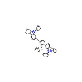 Cc1cc(-c2ccc3c4c(n(-c5ccccc5)c3c2)C=CCC4)ccc1-c1ccc2c3ccccc3n(-c3ccccc3)c2c1